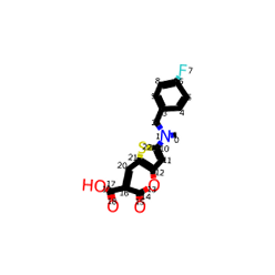 CN(Cc1ccc(F)cc1)c1cc2oc(=O)c(C(=O)O)cc2s1